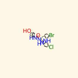 O=C(NC(Cc1ccc(Br)cc1)c1nc2ccc(Cl)cc2[nH]1)NC12CCC(O)(CC1)CC2